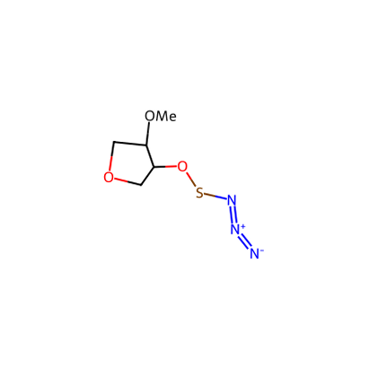 COC1COCC1OSN=[N+]=[N-]